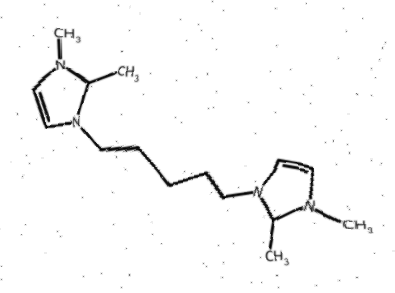 CC1N(C)C=CN1CCCCCN1C=CN(C)C1C